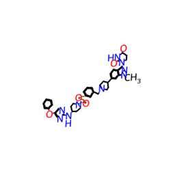 Cn1nc(N2CCC(=O)NC2=O)c2ccc(C3CCN(Cc4cccc(S(=O)(=O)N5CCC(Nc6ncc(Oc7ccccc7)cn6)CC5)c4)CC3)cc21